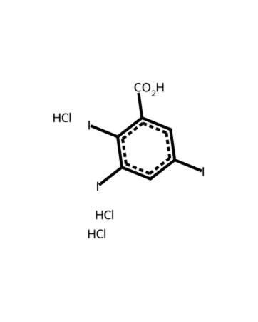 Cl.Cl.Cl.O=C(O)c1cc(I)cc(I)c1I